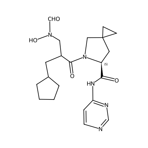 O=CN(O)CC(CC1CCCC1)C(=O)N1CC2(CC2)C[C@H]1C(=O)Nc1ccncn1